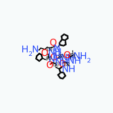 C[C@H](NC(=O)[C@H](C)NC(=O)[C@@H](C)N)C(=O)N[C@@H](Cc1c[nH]c2ccccc12)C(=O)N[C@H](Cc1ccccc1)C(=O)N[C@@H](CCCCN)C(=O)Nc1ccc2ccccc2c1